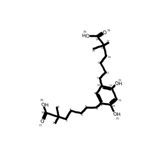 CC(C)(CCCCCc1cc(CCCCC(C)(C)C(=O)O)c(O)cc1O)C(=O)O